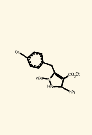 CCCCN1NC(CCC)C(C(=O)OCC)=C1Cc1ccc(Br)cc1